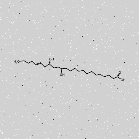 CCCCC=CCC(O)CCC(O)CCCCCCCCCCCCC(=O)O